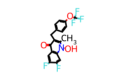 Cc1c(Cc2ccc(OC(F)(F)F)cc2)c(=O)c2cc(F)c(F)cc2n1O